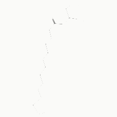 CCCCCCCCCCCCCCCCCCCCCC(=O)OC(CS(=O)(=O)O)C(F)(F)F